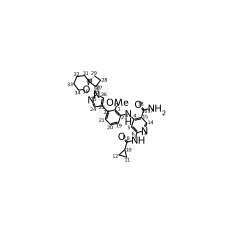 COc1c(Nc2cc(NC(=O)C3CC3)ncc2C(N)=O)cccc1-c1cnn([C@H]2CC[C@]23CCCCO3)c1